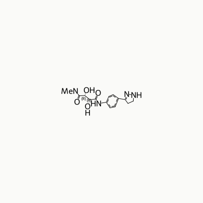 CNC(=O)[C@H](O)[C@@H](O)C(=O)Nc1ccc(C2=NNCC2)cc1